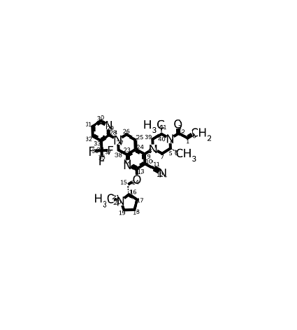 C=CC(=O)N1[C@H](C)CN(c2c(C#N)c(OC[C@@H]3CCCN3C)nc3c2CCN(c2ncccc2C(F)(F)F)C3)C[C@@H]1C